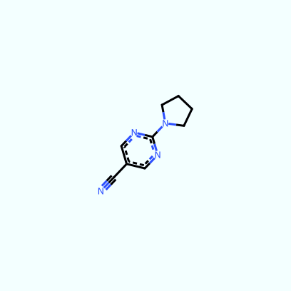 N#Cc1cnc(N2CCCC2)nc1